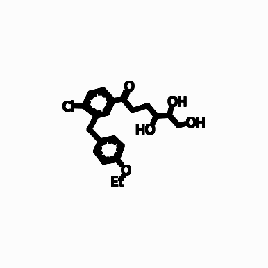 CCOc1ccc(Cc2cc(C(=O)CCC(O)C(O)CO)ccc2Cl)cc1